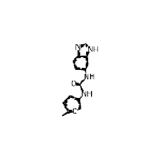 Cc1ccc(NC(=O)Nc2ccc3nc[nH]c3c2)cc1